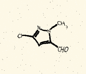 Cn1nc(Cl)cc1C=O